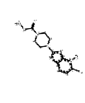 CC(C)(C)OC(=O)N1CCN(c2nc3c(ccc(I)[n+]3[O-])o2)CC1